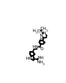 CN(C)C1=NCCC(c2ccc(C(=O)NCCc3ccc4[nH]cc(C(=N)N)c4c3)cc2)N1